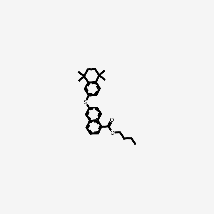 CCCCOC(=O)c1cccc2cc(Sc3ccc4c(c3)C(C)(C)CCC4(C)C)ccc12